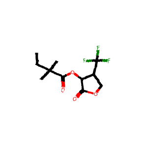 CCC(C)(C)C(=O)OC1C(=O)OCC1C(F)(F)F